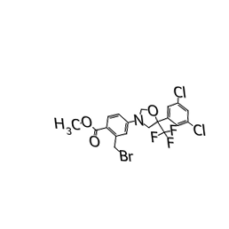 COC(=O)c1ccc(N2COC(c3cc(Cl)cc(Cl)c3)(C(F)(F)F)C2)cc1CBr